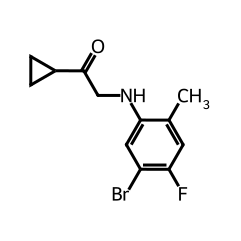 Cc1cc(F)c(Br)cc1NCC(=O)C1CC1